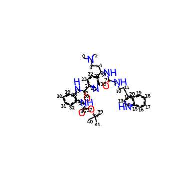 CN(C)CCC(NC(=O)NCCc1c[nH]c2ccccc12)c1ccc(C(=O)Nc2ccccc2NC(=O)OC(C)(C)C)nc1